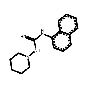 N=C(Nc1cccc2ccccc12)NN1CCCCC1